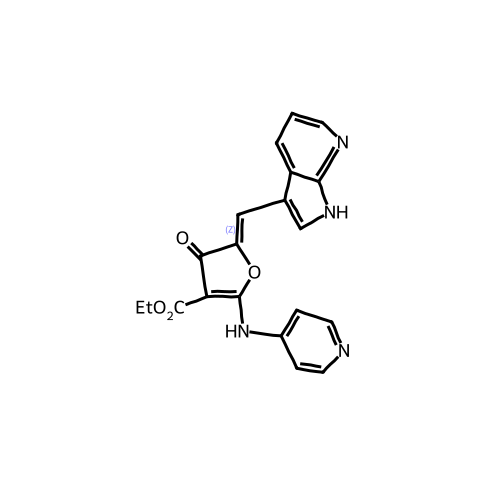 CCOC(=O)C1=C(Nc2ccncc2)O/C(=C\c2c[nH]c3ncccc23)C1=O